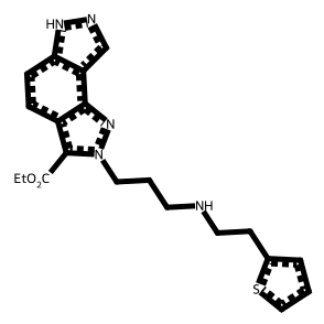 CCOC(=O)c1c2ccc3[nH]ncc3c2nn1CCCNCCc1cccs1